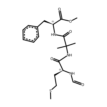 COC(=O)[C@H](Cc1ccccc1)NC(=O)C(C)(C)NC(=O)[C@H](CCSC)NC=O